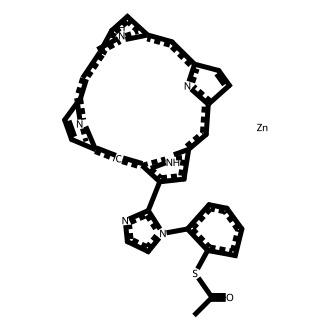 CC(=O)Sc1ccccc1-n1ccnc1-c1cc2cc3nc(cc4ccc(cc5nc(cc1[nH]2)C=C5)[nH]4)C=C3.[Zn]